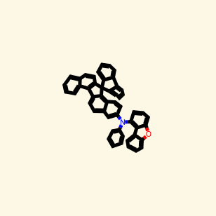 c1ccc(N(c2ccc3c4c(ccc3c2)-c2c(ccc3ccccc23)C42c3ccccc3-c3ccccc32)c2cccc3oc4ccccc4c23)cc1